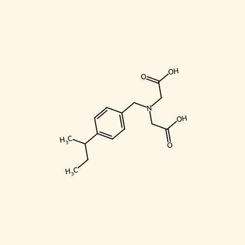 CCC(C)c1ccc(CN(CC(=O)O)CC(=O)O)cc1